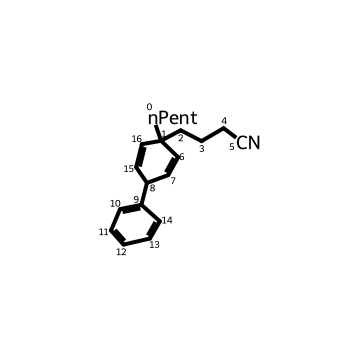 CCCCCC1(CCCC#N)C=CC(c2ccccc2)C=C1